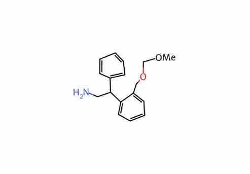 COCOCc1ccccc1C(CN)c1ccccc1